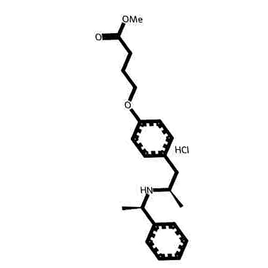 COC(=O)CCCOc1ccc(C[C@@H](C)N[C@H](C)c2ccccc2)cc1.Cl